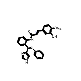 COc1ccc(/C=C/C(=O)Nc2ccccc2C(Oc2ccccc2)c2c[nH]cn2)cc1O